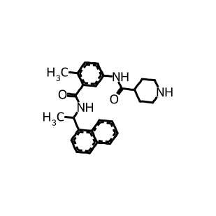 Cc1ccc(NC(=O)C2CCNCC2)cc1C(=O)NC(C)c1cccc2ccccc12